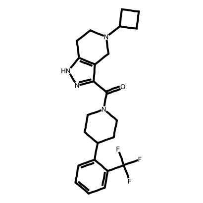 O=C(c1n[nH]c2c1CN(C1CCC1)CC2)N1CCC(c2ccccc2C(F)(F)F)CC1